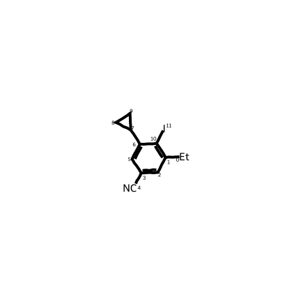 CCc1cc(C#N)cc(C2CC2)c1I